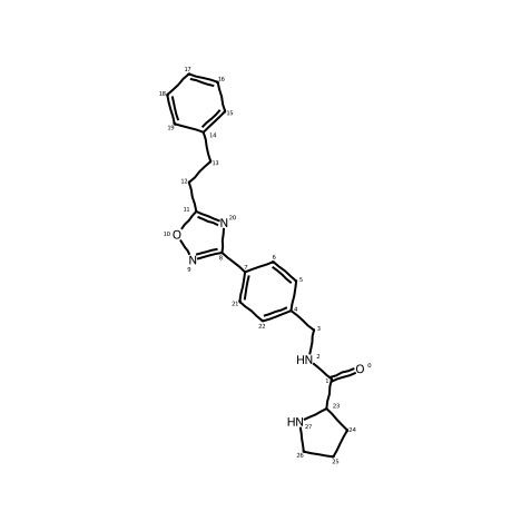 O=C(NCc1ccc(-c2noc(CCc3ccccc3)n2)cc1)C1CCCN1